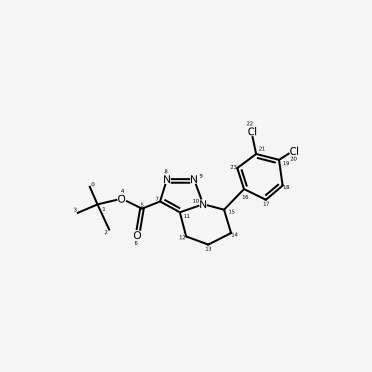 CC(C)(C)OC(=O)c1nnn2c1CCCC2c1ccc(Cl)c(Cl)c1